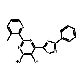 Cc1cccnc1-c1nc(O)c(O)c(-c2nc(-c3ccccc3)no2)n1